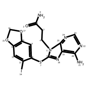 NC(=O)CCn1c(Sc2cc3c(cc2I)OCO3)nc2c(N)ncnc21